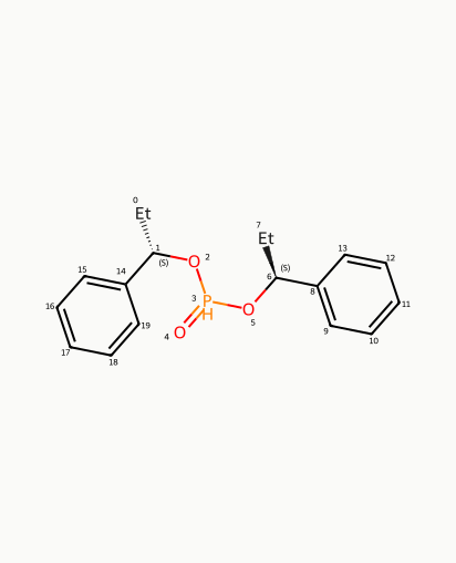 CC[C@H](O[PH](=O)O[C@@H](CC)c1ccccc1)c1ccccc1